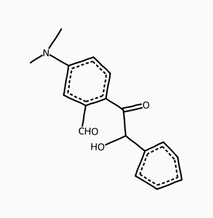 CN(C)c1ccc(C(=O)C(O)c2ccccc2)c(C=O)c1